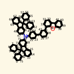 c1ccc(C2(c3ccccc3)c3ccccc3-c3cc(N(c4ccc(-c5cccc(-c6cccc7c6oc6ccccc67)c5)cc4)c4ccc5c(c4)C(c4ccccc4)(c4ccccc4)c4ccccc4-5)ccc32)cc1